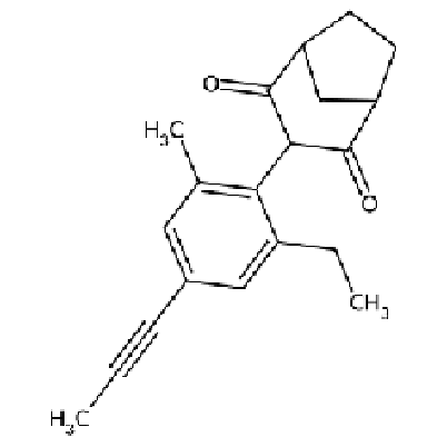 CC#Cc1cc(C)c(C2C(=O)C3CCC(C3)C2=O)c(CC)c1